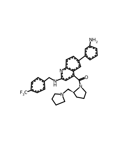 Nc1cccc(-c2ccc3nc(NCc4ccc(C(F)(F)F)cc4)cc(C(=O)N4CCC[C@H]4CN4CCCC4)c3c2)c1